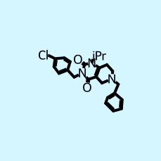 CC(C)n1c2c(c(=O)n(Cc3ccc(Cl)cc3)c1=O)CN(Cc1ccccc1)CC2